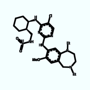 CCN1CCN(CC)c2cc(Nc3ncc(Cl)c(N[C@@H]4CCCC[C@@H]4CN[SH](=O)=O)n3)c(OC)cc2C1